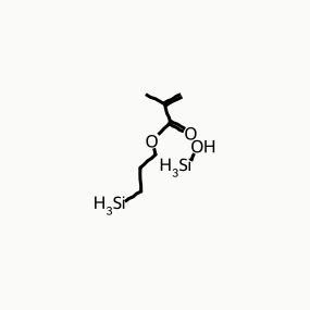 C=C(C)C(=O)OCCC[SiH3].O[SiH3]